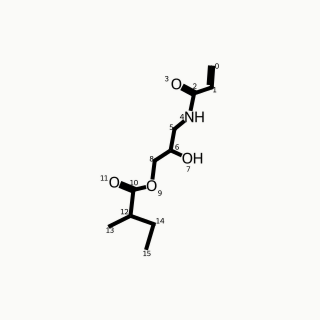 C=CC(=O)NCC(O)COC(=O)C(C)CC